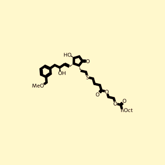 CCCCCCCCC(=O)OCCOC(=O)CCCSCC[C@H]1C(=O)C[C@@H](O)[C@H]1/C=C/[C@@H](O)Cc1cccc(COC)c1